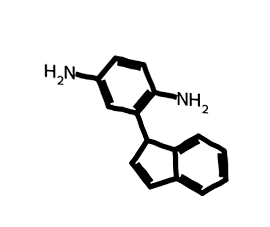 Nc1ccc(N)c(C2C=Cc3ccccc32)c1